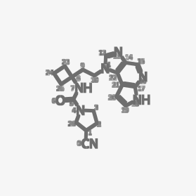 N#CC1CCN(C(=O)NC2(CCn3cnc4cnc5[nH]ccc5c43)CCC2)C1